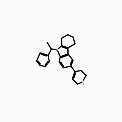 CC(c1ccccc1)n1c2c(c3cc(C4=CCNCC4)ccc31)CCCC2